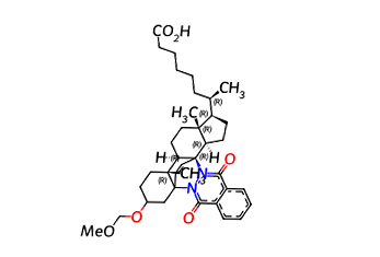 COCOC1CC[C@]2(C)[C@H]3CC[C@]4(C)[C@@H]([C@H](C)CCCCCC(=O)O)CC[C@H]4[C@]34C=CC2(C1)n1c(=O)c2ccccc2c(=O)n14